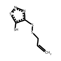 C=CCSSc1nnsc1S